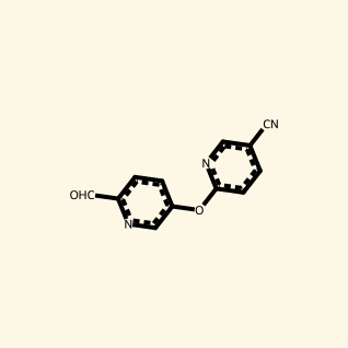 N#Cc1ccc(Oc2ccc(C=O)nc2)nc1